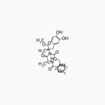 COC(=O)[C@](C)(Cc1ccc(O)c(O)c1)N(C(=O)OCc1ccccc1)C(=O)[C@H](C)NC(=O)[C@H](C)N